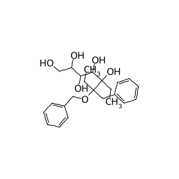 CCC(Cc1ccccc1)(OCc1ccccc1)C(O)(CC)C(O)C(O)C(O)CO